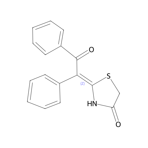 O=C1CS/C(=C(\C(=O)c2ccccc2)c2ccccc2)N1